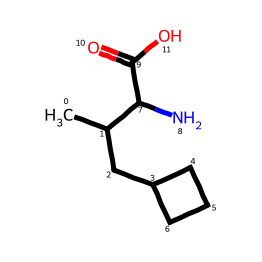 CC(CC1CCC1)C(N)C(=O)O